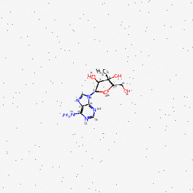 C[C@]1(O)C(O)[C@H](n2cnc3c(N)ncnc32)O[C@@H]1CO